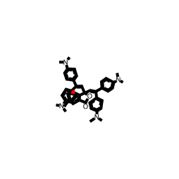 Cc1ccc2c(c1)C(=O)OC2(C=C(c1ccc(N(C)C)cc1)c1ccc(N(C)C)cc1)C=C(c1ccc(N(C)C)cc1)c1ccc(N(C)C)cc1